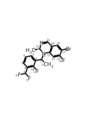 CC(c1cccc(C(F)F)c1F)N1c2cc(F)c(Br)cc2C=N[C@@H]1C